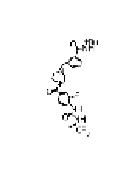 CC(NC(=O)Nc1ccc(C(=O)N2CCN(Cc3cccc(C(=O)NC(C)(C)C)c3)CC2)cc1F)C(F)(F)F